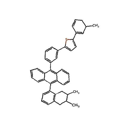 CC1C=C(c2ccc(-c3cccc(-c4c5ccccc5c(-c5cccc6c5CC(C)C(C)C6)c5ccccc45)c3)s2)C=CC1